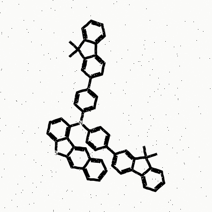 CC1(C)c2ccccc2-c2ccc(-c3ccc(N(c4ccc(-c5ccc6c(c5)C(C)(C)c5ccccc5-6)cc4)c4cccc5sc6cc7ccccc7cc6c45)cc3)cc21